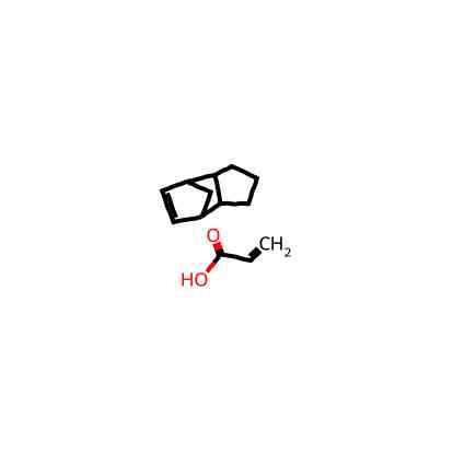 C1=CC2CC1C1CCCC21.C=CC(=O)O